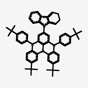 CC(C)(C)c1ccc(N2c3ccc(C(C)(C)C)cc3B3c4cc(C(C)(C)C)ccc4N(c4ccc(C(C)(C)C)cc4)c4cc(-n5c6c(c7ccccc75)=CCCC=6)cc2c43)cc1